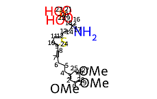 COc1cc(CCCC#Cc2ccc(CCC(C)(N)COP(=O)(O)O)s2)cc(OC)c1OC